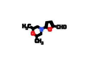 CC1CN(c2ccc(C=O)o2)CC(C)O1